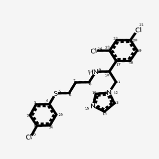 Clc1ccc(SCCCNC(Cn2ccnc2)c2ccc(Cl)cc2Cl)cc1